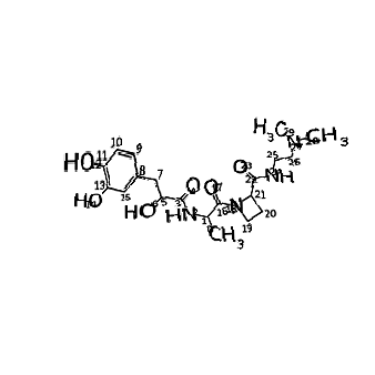 CC(NC(=O)C(O)Cc1ccc(O)c(O)c1)C(=O)N1CCC1C(=O)NCCN(C)C